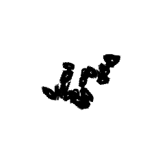 c1ccc(-c2ccc(-c3nc(-c4ccccc4)nc(-c4ccc5c(c4)oc4c(-c6cccc(-c7ccc8oc9ccc(-n%10c%11ccccc%11c%11cc(-c%12ccccc%12)ccc%11%10)cc9c8c7)c6)cccc45)n3)cc2)cc1